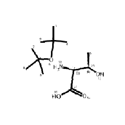 CC(C)(C)OC(C)(C)C.C[C@@H](O)[C@H](N)C(=O)O